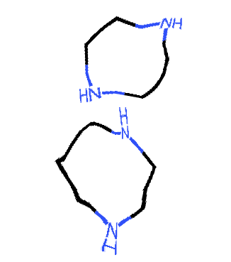 C1CNCCN1.C1CNCCNC1